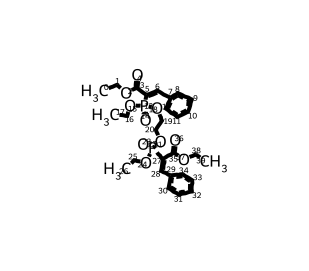 CCOC(=O)C(=Cc1ccccc1)P(=O)(OCC)OCCOP(=O)(OCC)C(=Cc1ccccc1)C(=O)OCC